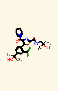 CC(C)(O)CNC(=O)c1nc(C(=O)N2C3CCC2CC3)c(-c2ccc(C(O)(C(F)(F)F)C(F)(F)F)cc2C(F)F)s1